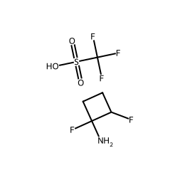 NC1(F)CCC1F.O=S(=O)(O)C(F)(F)F